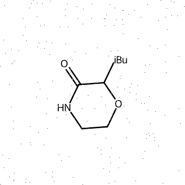 CCC(C)C1OCCNC1=O